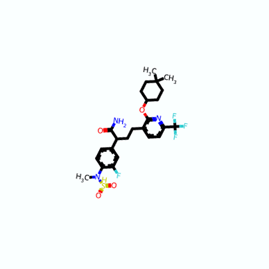 CN(c1ccc(C(CCc2ccc(C(F)(F)F)nc2OC2CCC(C)(C)CC2)C(N)=O)cc1F)[SH](=O)=O